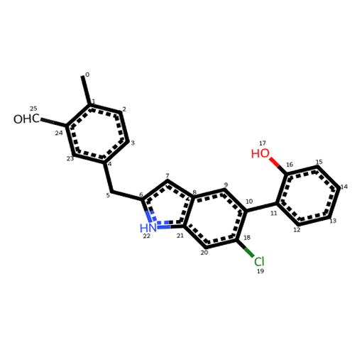 Cc1ccc(Cc2cc3cc(-c4ccccc4O)c(Cl)cc3[nH]2)cc1C=O